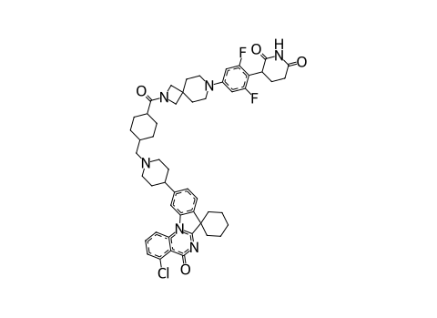 O=C1CCC(c2c(F)cc(N3CCC4(CC3)CN(C(=O)C3CCC(CN5CCC(c6ccc7c(c6)-n6c(nc(=O)c8c(Cl)cccc86)C76CCCCC6)CC5)CC3)C4)cc2F)C(=O)N1